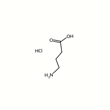 Cl.NCCCC(=O)O